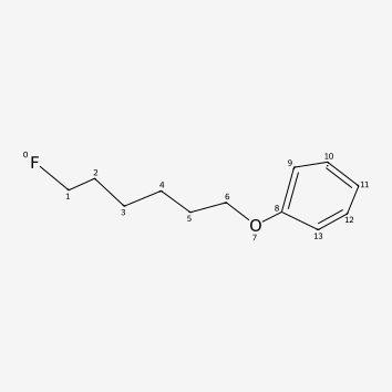 FCCCCCCOc1c[c]ccc1